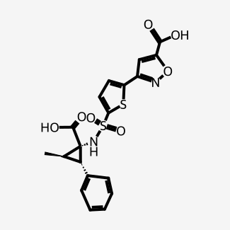 C[C@@H]1[C@@H](c2ccccc2)[C@]1(NS(=O)(=O)c1ccc(-c2cc(C(=O)O)on2)s1)C(=O)O